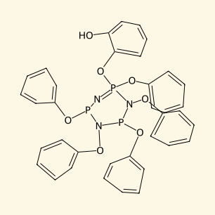 Oc1ccccc1OP1(Oc2ccccc2)=NP(Oc2ccccc2)N(Oc2ccccc2)P(Oc2ccccc2)N1Oc1ccccc1